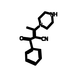 C/C(=C(/C#N)C(=O)c1ccccc1)N1CCNCC1